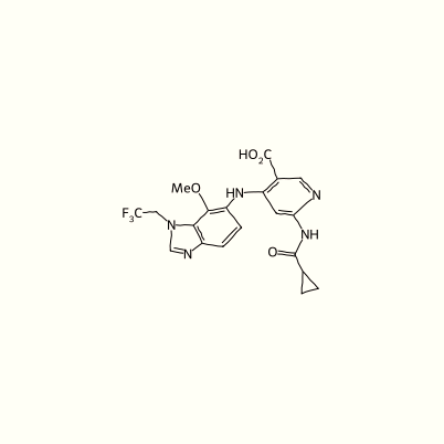 COc1c(Nc2cc(NC(=O)C3CC3)ncc2C(=O)O)ccc2ncn(CC(F)(F)F)c12